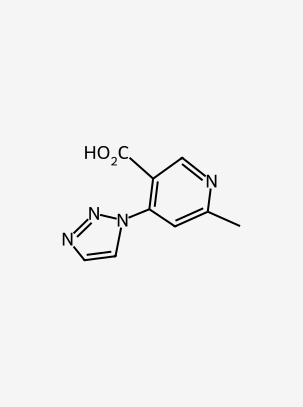 Cc1cc(-n2ccnn2)c(C(=O)O)cn1